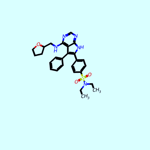 CCN(CC)S(=O)(=O)c1ccc(-c2[nH]c3ncnc(NCC4CCCO4)c3c2-c2ccccc2)cc1